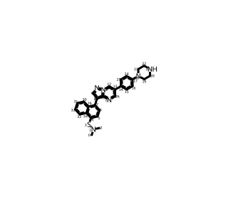 CN(C)Sc1ccc(-c2cnn3cc(-c4ccc(N5CCNCC5)cc4)cnc23)c2ccccc12